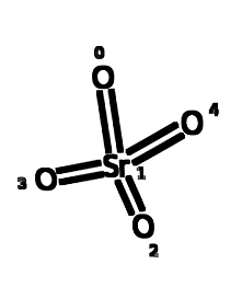 [O]=[Sr](=[O])(=[O])=[O]